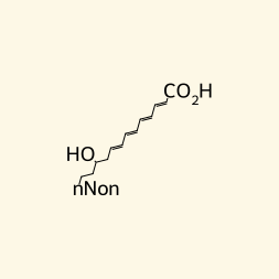 CCCCCCCCCCCC(O)CC=CC=CC=CC=CC(=O)O